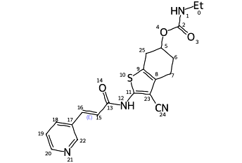 CCNC(=O)OC1CCc2c(sc(NC(=O)/C=C/c3cccnc3)c2C#N)C1